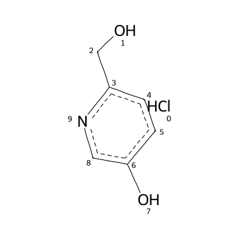 Cl.OCc1ccc(O)cn1